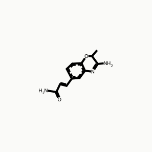 CC1Oc2ccc(C=CC(N)=O)cc2N=C1N